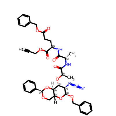 C#CCOC(=O)[C@@H](CCC(=O)OCc1ccccc1)NC(=O)[C@H](C)NC(=O)[C@@H](C)O[C@@H]1[C@@H](N=[N+]=[N-])[C@@H](OCc2ccccc2)O[C@@H]2CO[C@@H](c3ccccc3)O[C@@H]12